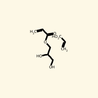 C=CC(=O)O.C=CC(=O)OCC(O)CO